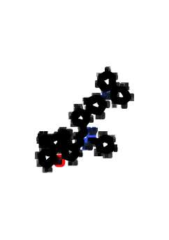 C1=Cc2c(c3ccccc3n2-c2ccc(-c3cccc(-c4cc(-c5ccc6c(c5)C5(c7ccccc7O6)c6ccccc6-c6ccccc65)nc(-c5ccccc5)n4)c3)cc2)CC1